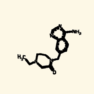 CCN1CCN(Cc2ccc3c(N)ncnc3c2)C(=O)C1